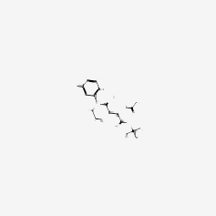 CC(=O)O[C@@H](C(=O)OC(C)(C)C)[C@H]1OCCN(c2cccc(F)c2)C1=O